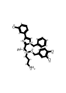 CC(C)[C@H](c1nc(-c2cccc(Cl)c2)cn1Cc1ccccc1)N(CCCN)OCc1ccc(Cl)c(Cl)c1